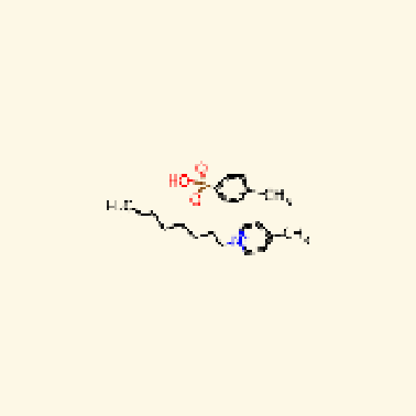 CCCCCCCC[n+]1ccc(C)cc1.Cc1ccc(S(=O)(=O)O)cc1